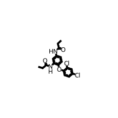 CCC(=O)Nc1ccc(Oc2ccc(Cl)cc2Cl)c(NC(=O)CC)c1